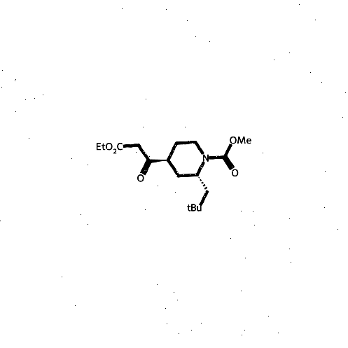 CCOC(=O)CC(=O)[C@H]1CCN(C(=O)OC)[C@H](CC(C)(C)C)C1